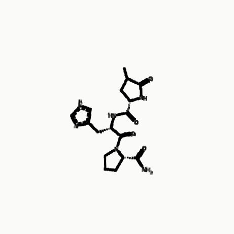 CC1C[C@@H](C(=O)N[C@@H](Cc2c[nH]cn2)C(=O)N2CCC[C@H]2C(N)=O)NC1=O